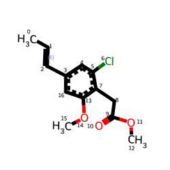 C/C=C/c1cc(Cl)c(CC(=O)OC)c(OC)c1